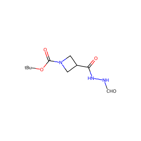 CC(C)(C)OC(=O)N1CC(C(=O)NNC=O)C1